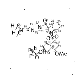 COc1ccc(S(=O)(=O)N2CC(C(=O)N3CCN(CCN(C)C)CC3)c3ccccc32)c2ccccc12.O=C(O)C(F)(F)F